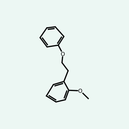 COc1ccccc1CCOc1ccccc1